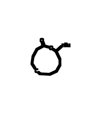 CCCCC1CCCCCCCCCC(=O)O1